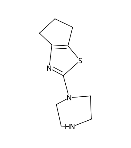 C1Cc2nc(N3CCNCC3)sc2C1